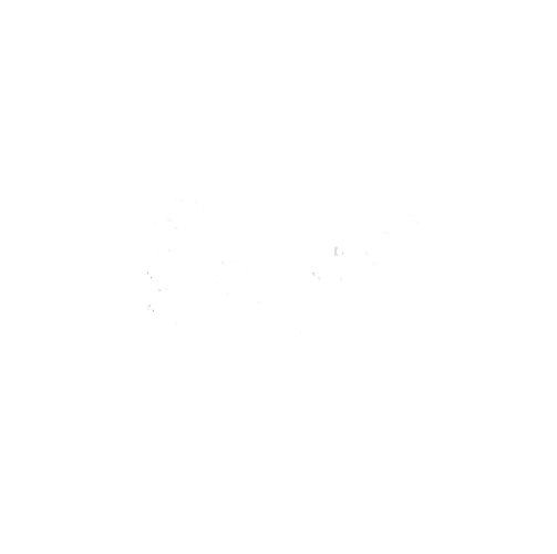 O=C(Nc1cccc(OS(=O)(=O)c2ccccc2S(=O)(=O)Oc2cccc(NC(=O)Nc3ccc4ccccc4c3)c2)c1)Nc1ccc2ccccc2c1